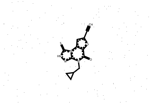 C#Cc1cc2c(s1)c(=O)n(CC1CC1)c1n[nH]c(=S)n21